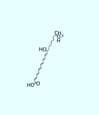 CC(O)CCCCCCC(O)/C=C/C=C/C=C/C=C/C=C/C=C/C(=O)O